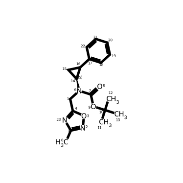 Cc1noc(CN(C(=O)OC(C)(C)C)[C@H]2CC2c2ccccc2)n1